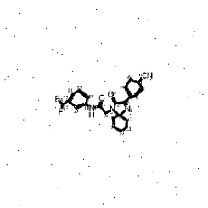 N#CC1C=CC(C2=NC3(CCCCC3)N(CC(=O)Nc3cccc(C(F)F)c3)C2=O)=CC1